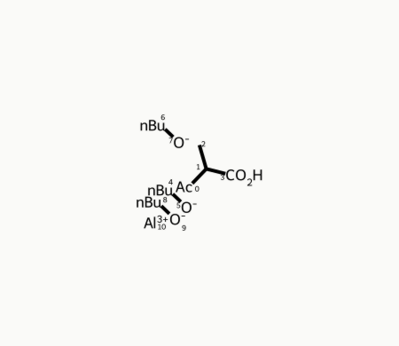 CC(=O)C(C)C(=O)O.CCCC[O-].CCCC[O-].CCCC[O-].[Al+3]